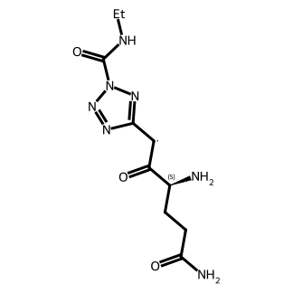 CCNC(=O)n1nnc([CH]C(=O)[C@@H](N)CCC(N)=O)n1